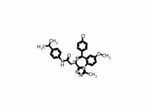 COc1ccc2c(c1)C(c1ccc(Cl)cc1)=N[C@H](CC(=O)Nc1ccc(C(C)C)cc1)c1nnc(C)n1-2